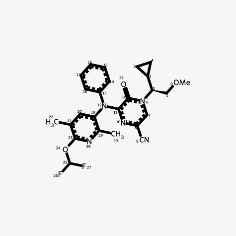 COC[C@H](C1CC1)n1cc(C#N)nc(N(c2ccccc2)c2cc(C)c(OC(F)F)nc2C)c1=O